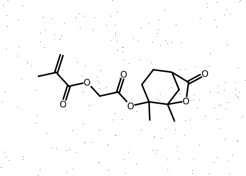 C=C(C)C(=O)OCC(=O)OC1(C)CCC2CC1(C)OC2=O